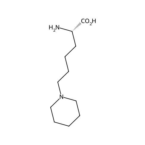 N[C@@H](CCCCN1CCCCC1)C(=O)O